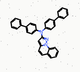 c1ccc(-c2ccc(N(c3ccc(-c4ccccc4)cc3)c3cc4ccc5ccccc5n4n3)cc2)cc1